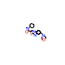 CN(C(=O)c1cn2c(nc3cc(CN4CCOCC4)ccc32)s1)C1CCCCC1